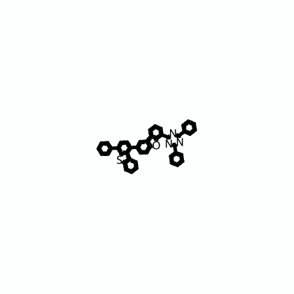 c1ccc(-c2nc(-c3ccccc3)nc(-c3cccc4c3oc3ccc(-c5ccc(-c6ccccc6)c6sc7ccccc7c56)cc34)n2)cc1